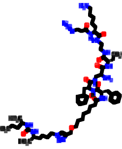 [N-]=[N+]=NCCC(=O)N[C@@H](CCCCCN)C(=O)NCCNC(=O)[C@H](CC(=O)O)NC(=O)[C@@H](N)CNC(=O)[C@H](Cc1ccccc1)NC(=O)[C@H](Cc1ccccc1)NC(=O)CCCCCCCOCc1cn(CCCC[C@H](NC(=O)N[C@@H](CCC(=O)O)C(=O)O)C(=O)O)nn1